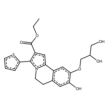 CCOC(=O)c1cc2n(c1-c1cccs1)CCc1cc(O)c(OCC(O)CO)cc1-2